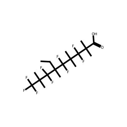 CCC(C)(C(F)(F)C(C)(C)C(F)(F)F)C(F)(F)C(C)(C)C(F)(F)C(C)(C)C(=O)O